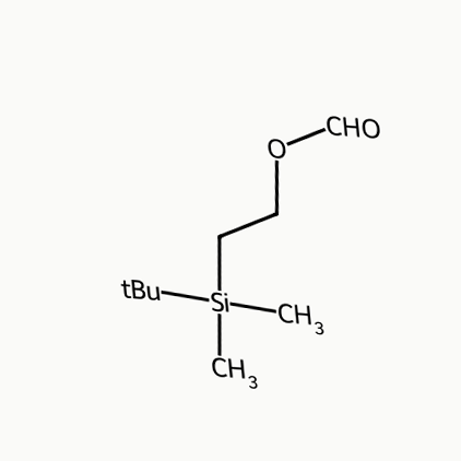 CC(C)(C)[Si](C)(C)CCOC=O